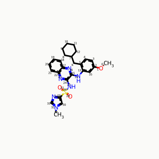 COc1ccc(CC2CCCCC2)c(Nc2nc3ccccc3nc2NS(=O)(=O)c2cn(C)cn2)c1